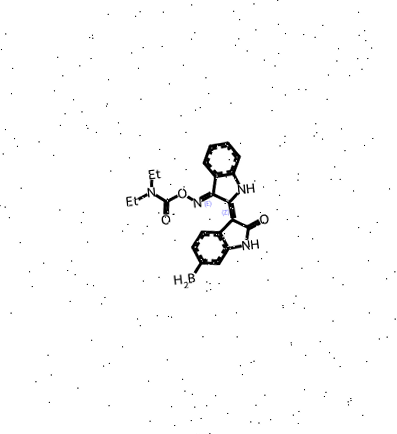 Bc1ccc2c(c1)NC(=O)/C2=C1\Nc2ccccc2\C1=N/OC(=O)N(CC)CC